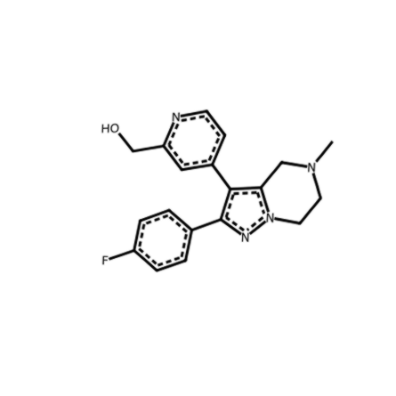 CN1CCn2nc(-c3ccc(F)cc3)c(-c3ccnc(CO)c3)c2C1